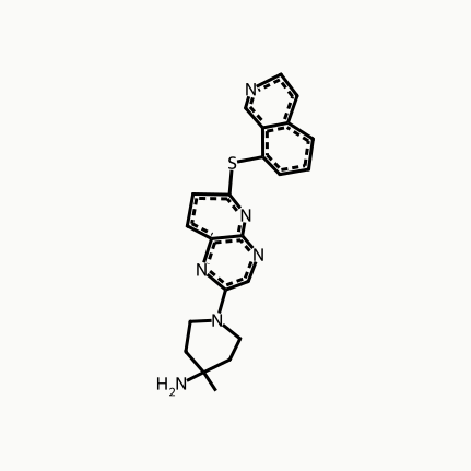 CC1(N)CCN(c2cnc3nc(Sc4cccc5ccncc45)ccc3n2)CC1